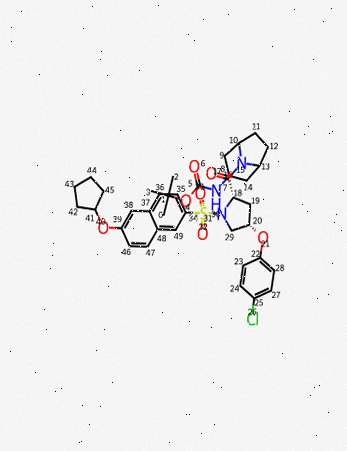 CC(C)(C)OC(=O)NC1CC2CCC(C1)N2C(=O)[C@@H]1C[C@H](Oc2ccc(Cl)cc2)CN1S(=O)(=O)c1ccc2cc(OC3CCCC3)ccc2c1